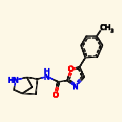 Cc1ccc(-c2cnc(C(=O)NC3CC4CNC3C4)o2)cc1